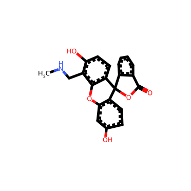 CNCc1c(O)ccc2c1Oc1cc(O)ccc1C21OC(=O)c2ccccc21